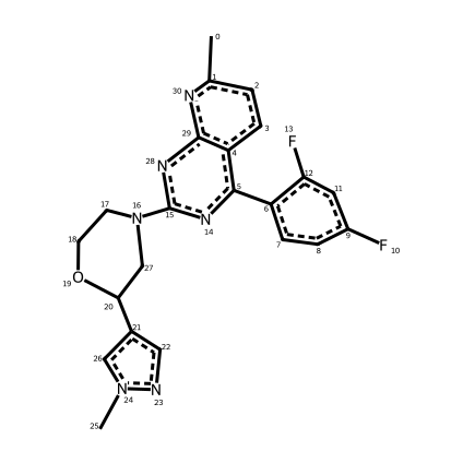 Cc1ccc2c(-c3ccc(F)cc3F)nc(N3CCOC(c4cnn(C)c4)C3)nc2n1